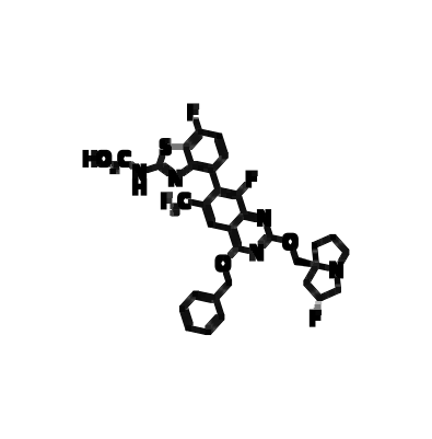 O=C(O)Nc1nc2c(-c3c(C(F)(F)F)cc4c(OCc5ccccc5)nc(OC[C@@]56CCCN5C[C@H](F)C6)nc4c3F)ccc(F)c2s1